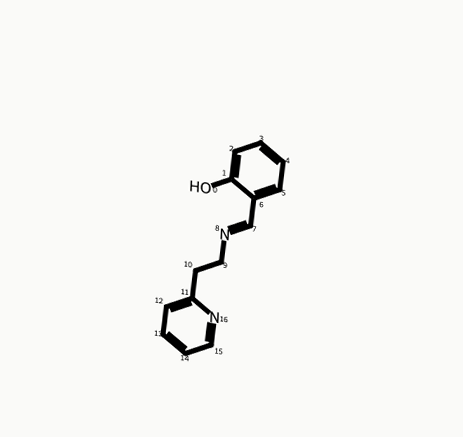 Oc1ccccc1C=NCCc1ccccn1